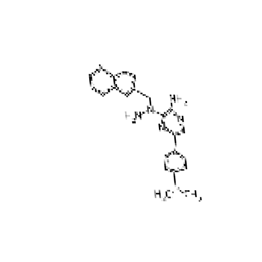 CP(C)c1ccc(-c2cnc(N)c(N(N)Cc3ccc4ncccc4c3)n2)cc1